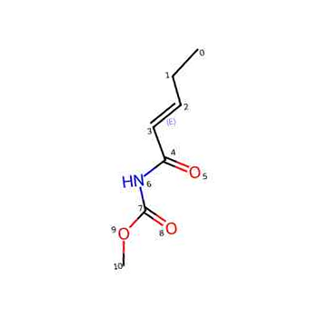 CC/C=C/C(=O)NC(=O)OC